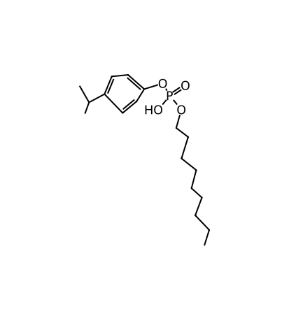 CCCCCCCCCOP(=O)(O)Oc1ccc(C(C)C)cc1